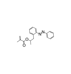 C=C(C)C(=O)OC(C)Cc1ccccc1N=Nc1ccccc1